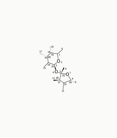 CC1O[C@@H](O[C@]2(C)O[C@H](C)C(C)[C@H]2C)C(C)[C@H](C)[C@@H]1C